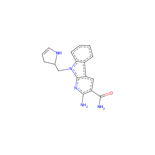 NC(=O)c1cc2c3ccccc3n(CC3CC=CN3)c2nc1N